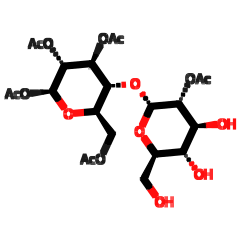 CC(=O)OC[C@H]1O[C@@H](OC(C)=O)[C@H](OC(C)=O)[C@@H](OC(C)=O)[C@@H]1O[C@H]1O[C@H](CO)[C@@H](O)[C@H](O)[C@H]1OC(C)=O